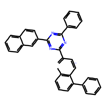 C=C(/C=C\c1c(C)cccc1-c1ccccc1)c1nc(-c2ccccc2)nc(-c2ccc3ccccc3c2)n1